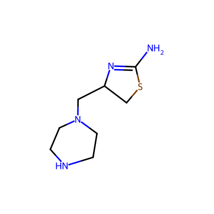 NC1=NC(CN2CCNCC2)CS1